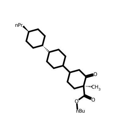 CCCCOC(=O)[C@@]1(C)CCC(C2CCC([C@H]3CC[C@H](CCC)CC3)CC2)CC1=O